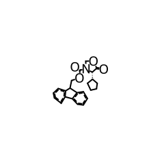 O=C1OCN(C(=O)OCC2c3ccccc3-c3ccccc32)[C@H]1C1CCCC1